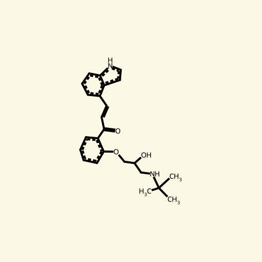 CC(C)(C)NCC(O)COc1ccccc1C(=O)/C=C/c1cccc2[nH]ccc12